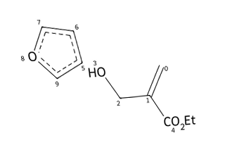 C=C(CO)C(=O)OCC.c1ccoc1